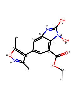 CCOC(=O)c1cc(-c2c(C)noc2C)cc2nc(O)n(O)c12